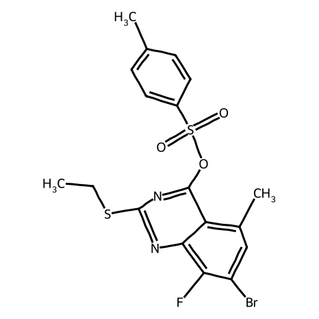 CCSc1nc(OS(=O)(=O)c2ccc(C)cc2)c2c(C)cc(Br)c(F)c2n1